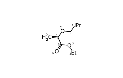 C=C(OCC(C)C)C(=O)OCC